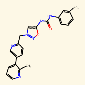 Cc1ncccc1-c1ccc(C[n+]2cc([N-]C(=O)Nc3cccc(C(F)(F)F)c3)on2)nc1